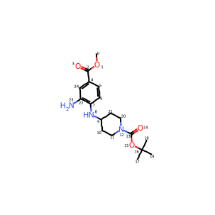 COC(=O)c1ccc(NC2CCN(C(=O)OC(C)(C)C)CC2)c(N)c1